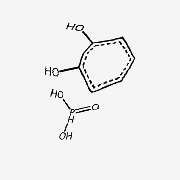 O=[PH](O)O.Oc1ccccc1O